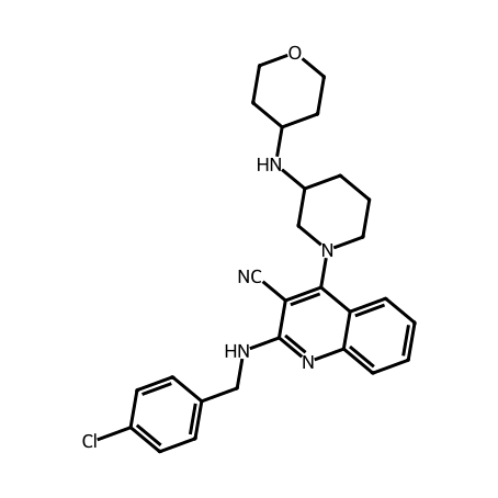 N#Cc1c(NCc2ccc(Cl)cc2)nc2ccccc2c1N1CCCC(NC2CCOCC2)C1